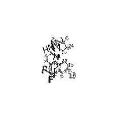 CC1=CN(Nc2ccc(C(F)(F)F)c(-c3ccc(C)cc3)n2)CC1C